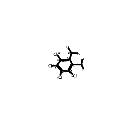 CC(C)c1c(Cl)c(Cl)c(Cl)c(Cl)c1C(C)C